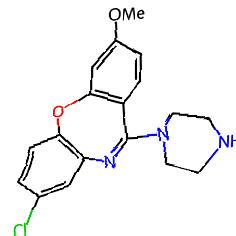 COc1ccc2c(c1)Oc1ccc(Cl)cc1N=C2N1CCNCC1